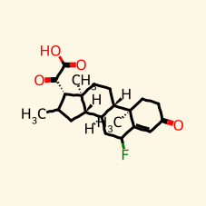 CC1C[C@H]2[C@@H]3CC(F)C4=CC(=O)CC[C@]4(C)[C@H]3CC[C@]2(C)[C@H]1C(=O)C(=O)O